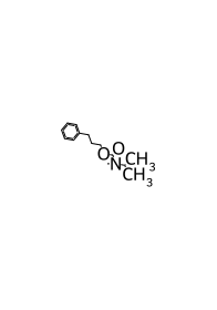 CC(C)[N]C(=O)OCCCc1ccccc1